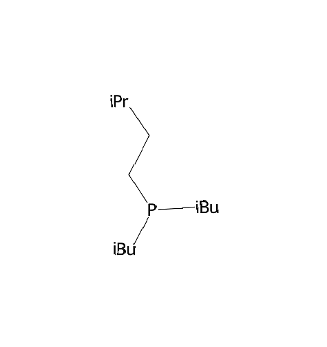 CCC(C)P(CCC(C)C)C(C)CC